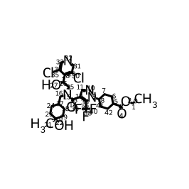 CCOC(=O)C1CCC(n2ncc(C(=O)N(CC3CCC(C)(O)CC3)CC(O)c3c(Cl)cncc3Cl)c2C(F)(F)F)CC1